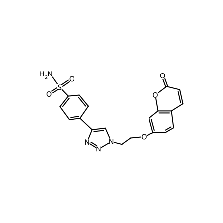 NS(=O)(=O)c1ccc(-c2cn(CCOc3ccc4ccc(=O)oc4c3)nn2)cc1